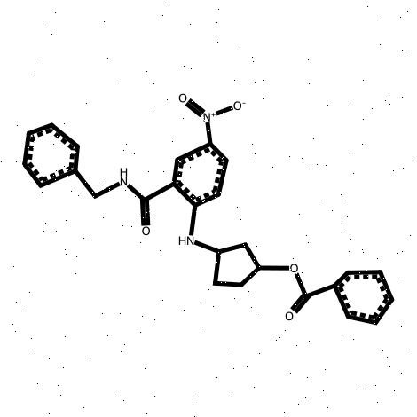 O=C(OC1CCC(Nc2ccc([N+](=O)[O-])cc2C(=O)NCc2ccccc2)C1)c1ccccc1